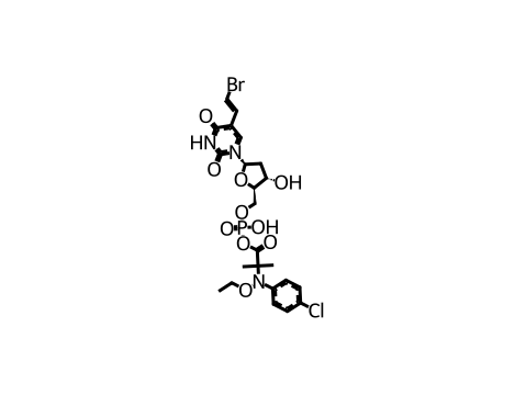 CCON(c1ccc(Cl)cc1)C(C)(C)C(=O)OP(=O)(O)OC[C@H]1O[C@@H](n2cc(/C=C/Br)c(=O)[nH]c2=O)C[C@@H]1O